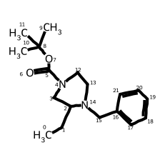 CCC1CN(C(=O)OC(C)(C)C)CCN1Cc1ccccc1